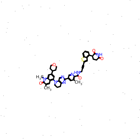 Cc1cc(-c2ncc3c(n2)CCCN3c2cc(C3CCOCC3)cc3c2cc(C)c(=O)n3C)cnc1C(=O)NCC#Cc1cc2c(C3CCC(=O)NC3=O)cccc2s1